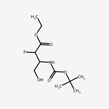 CCOC(=O)C(F)C(CO)NC(=O)OC(C)(C)C